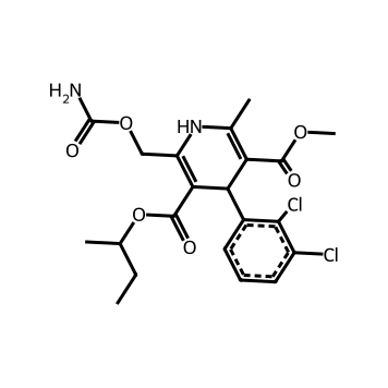 CCC(C)OC(=O)C1=C(COC(N)=O)NC(C)=C(C(=O)OC)C1c1cccc(Cl)c1Cl